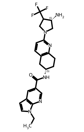 CCn1ccc2cc(C(=O)N[C@H]3CCc4nc(N5CC(C(F)(F)F)[C@H](N)C5)ccc4C3)cnc21